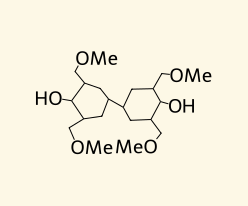 COCC1CC(C2CC(COC)C(O)C(COC)C2)CC(COC)C1O